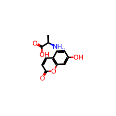 CC(N)C(=O)O.O=c1ccc2ccc(O)cc2o1